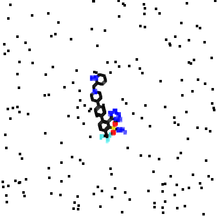 NS(=O)(=O)c1c(C(F)(F)F)ccc(-c2ccc(C3CCN(CC4CCCCN4)CC3)cc2)c1-c1nnn[nH]1